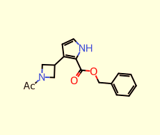 CC(=O)N1CC(c2cc[nH]c2C(=O)OCc2ccccc2)C1